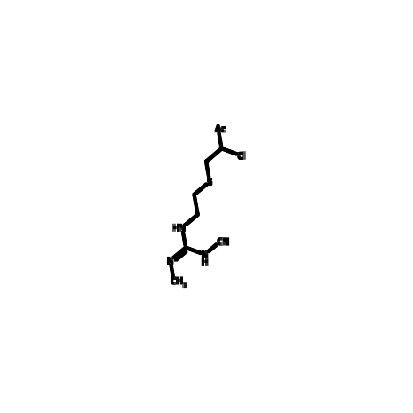 C/N=C(\NC#N)NCCSCC(Cl)C(C)=O